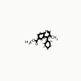 COC(=O)c1ccc2ncc(C)c(C3=CCCCC3)c2c1